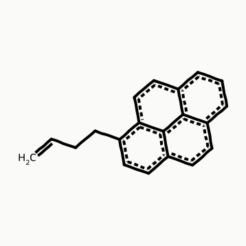 C=CCCc1ccc2ccc3cccc4ccc1c2c34